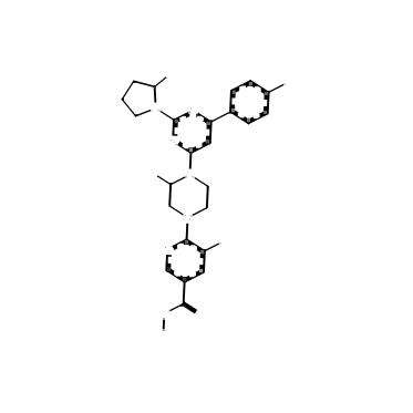 COC(=O)c1cnc(N2CCN(c3cc(-c4ccc(F)cc4)nc(N4CCCC4C)n3)C(C)C2)c(C)c1